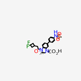 C[C@H]1CN(C(=O)O)c2cc(-c3ccc(NS(C)(=O)=O)cc3)ccc2N1C(=O)CC1CC(F)(F)C1